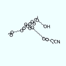 C=C/C=C(\C=C/CC#N)c1ccc(OCCCCCCCCCCOC(=O)c2cc(OC(=O)C(C)/C=C\C(=C/C)OCCCCCCO)ccc2OC(=O)c2ccc(OCCCCCCOC(=O)C=C)cc2)cc1